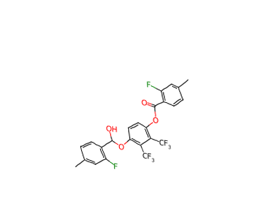 Cc1ccc(C(=O)Oc2ccc(OC(O)c3ccc(C)cc3F)c(C(F)(F)F)c2C(F)(F)F)c(F)c1